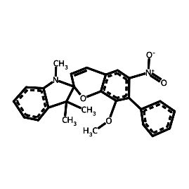 COc1c2c(cc([N+](=O)[O-])c1-c1ccccc1)C=CC1(O2)N(C)c2ccccc2C1(C)C